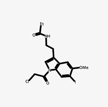 CCC(=O)NCCc1cn(C(=O)CCl)c2cc(I)c(OC)cc12